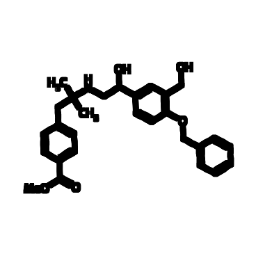 COC(=O)c1ccc(CC(C)(C)NCC(O)c2ccc(OCc3ccccc3)c(CO)c2)cc1